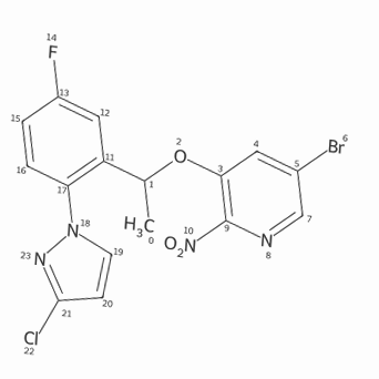 CC(Oc1cc(Br)cnc1[N+](=O)[O-])c1cc(F)ccc1-n1ccc(Cl)n1